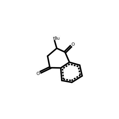 CC(C)(C)C1CC(=O)c2ccccc2C1=O